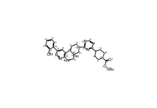 CC(C)(C)OC(=O)N1CCC(c2ccnc(N3CCN4c5cc(-c6ccccc6O)nnc5NC[C@@H]4C3)n2)CC1